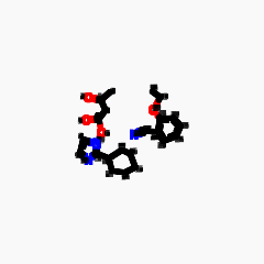 CC(=O)CC(=O)On1ccnc1C1CCCCC1.CCOc1ccccc1C#N